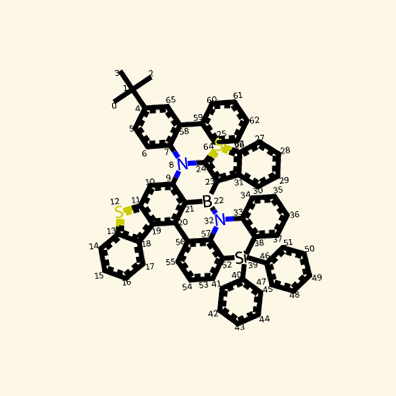 CC(C)(C)c1ccc(N2c3cc4sc5ccccc5c4c4c3B(c3c2sc2ccccc32)N2c3ccccc3[Si](c3ccccc3)(c3ccccc3)c3cccc-4c32)c(-c2ccccc2)c1